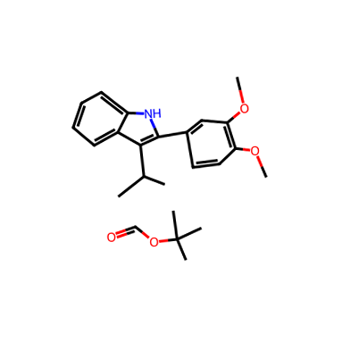 CC(C)(C)OC=O.COc1ccc(-c2[nH]c3ccccc3c2C(C)C)cc1OC